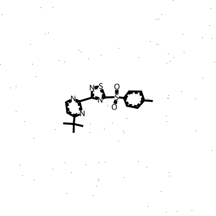 Cc1ccc(S(=O)(=O)c2nc(-c3nccc(C(C)(C)C)n3)ns2)cc1